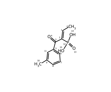 CC=C(C(=O)c1cccc(C)c1)P(=O)(O)O